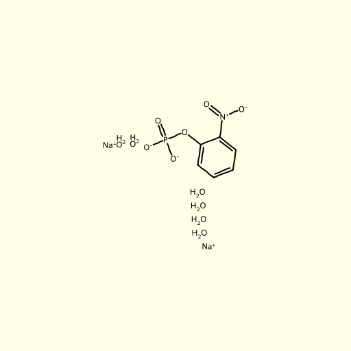 O.O.O.O.O.O.O=[N+]([O-])c1ccccc1OP(=O)([O-])[O-].[Na+].[Na+]